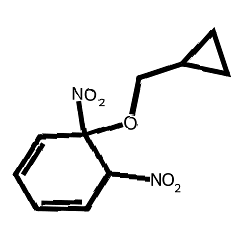 O=[N+]([O-])C1C=CC=CC1(OCC1CC1)[N+](=O)[O-]